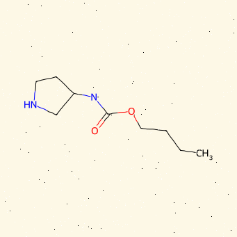 CCCCOC(=O)[N]C1CCNC1